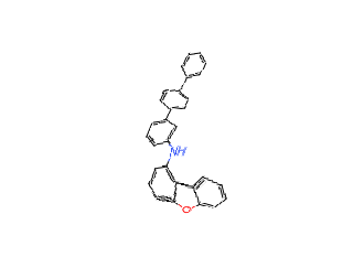 c1ccc(-c2ccc(-c3cccc(Nc4cccc5oc6ccccc6c45)c3)cc2)cc1